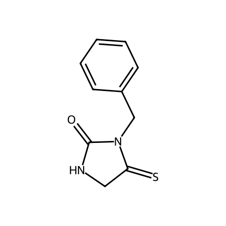 O=C1NCC(=S)N1Cc1ccccc1